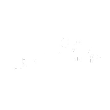 CNCCOCCOCCSc1cccc2c1CN(C(C)CCC(=O)NC=O)C2=O